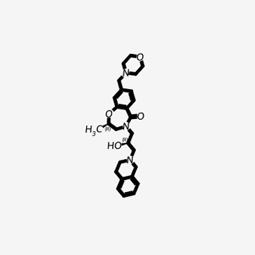 C[C@@H]1CN(C[C@H](O)CN2CCc3ccccc3C2)C(=O)c2ccc(CN3CCOCC3)cc2O1